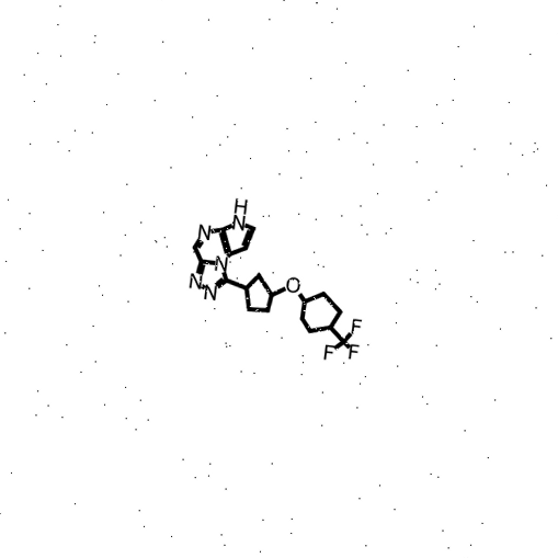 FC(F)(F)C1CCC(OC2CCC(c3nnc4cnc5[nH]ccc5n34)C2)CC1